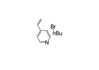 C=Cc1ccncc1.CCCCBr